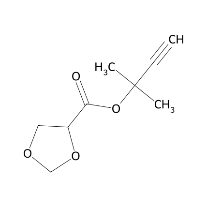 C#CC(C)(C)OC(=O)C1COCO1